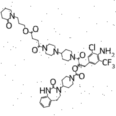 Nc1c(Cl)cc(C[C@@H](OC(=O)N2CCC(N3CCc4ccccc4NC3=O)CC2)C(=O)N2CCC(N3CCN(C(=O)CCC(=O)OCCCN4CCCCC4=O)CC3)CC2)cc1C(F)(F)F